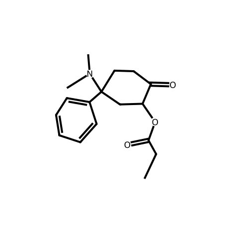 CCC(=O)OC1CC(c2ccccc2)(N(C)C)CCC1=O